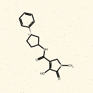 CN1CC(C(=O)NC2CC[C@H](c3ccccc3)C2)=C(O)C1=O